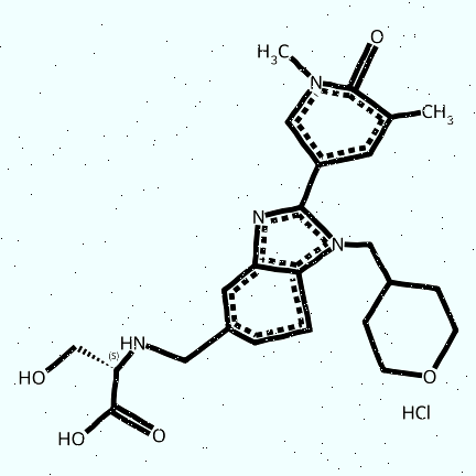 Cc1cc(-c2nc3cc(CN[C@@H](CO)C(=O)O)ccc3n2CC2CCOCC2)cn(C)c1=O.Cl